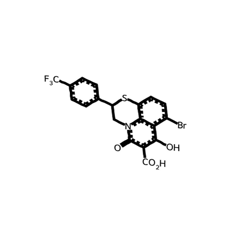 O=C(O)c1c(O)c2c(Br)ccc3c2n(c1=O)CC(c1ccc(C(F)(F)F)cc1)S3